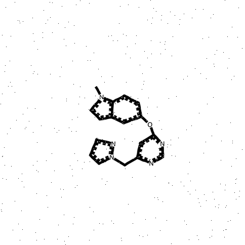 Cn1ccc2cc(Oc3cc(Cn4cccn4)ncn3)ccc21